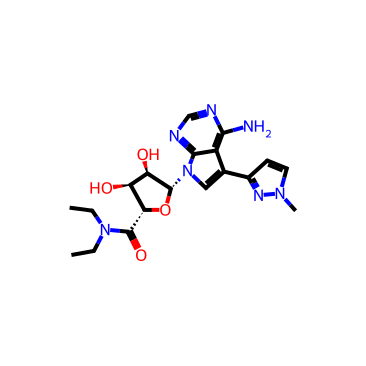 CCN(CC)C(=O)[C@H]1O[C@@H](n2cc(-c3ccn(C)n3)c3c(N)ncnc32)[C@H](O)[C@@H]1O